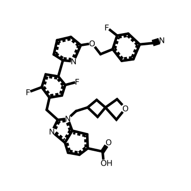 N#Cc1ccc(COc2cccc(-c3cc(F)c(Cc4nc5ccc(C(=O)O)cc5n4CC4CC5(COC5)C4)cc3F)n2)c(F)c1